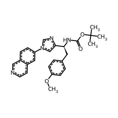 COc1ccc(C[C@H](NC(=O)OC(C)(C)C)c2cn(-c3ccc4cnccc4c3)cn2)cc1